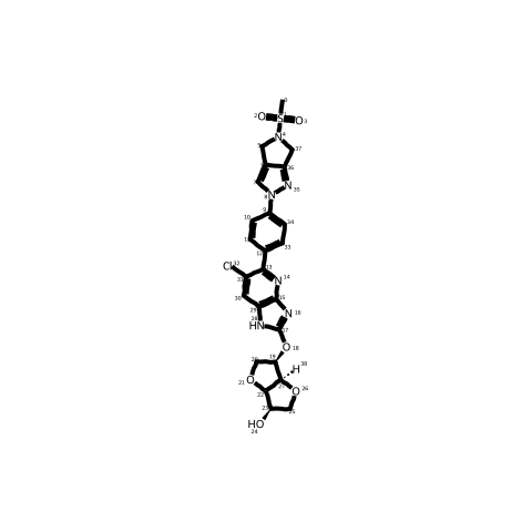 CS(=O)(=O)N1Cc2cn(-c3ccc(-c4nc5nc(O[C@@H]6COC7[C@H](O)CO[C@@H]76)[nH]c5cc4Cl)cc3)nc2C1